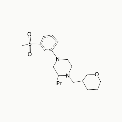 CC(C)C1CN(c2cccc(S(C)(=O)=O)c2)CCN1CC1CCCOC1